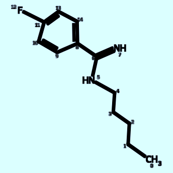 CCCCCNC(=N)c1ccc(F)cc1